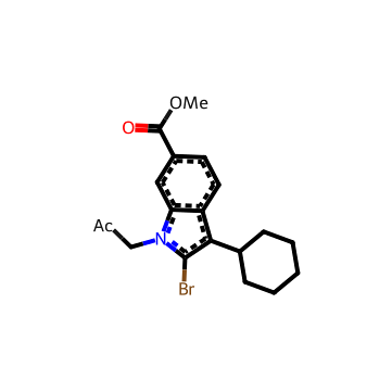 COC(=O)c1ccc2c(C3CCCCC3)c(Br)n(CC(C)=O)c2c1